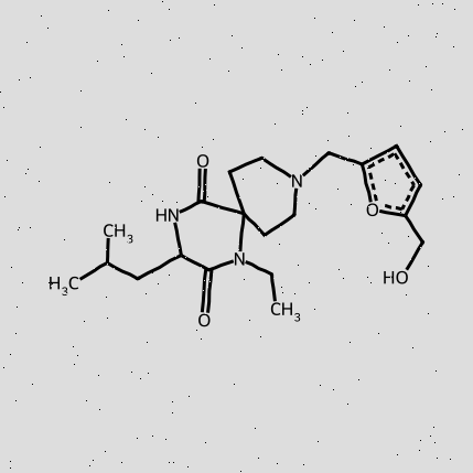 CCN1C(=O)C(CC(C)C)NC(=O)C12CCN(Cc1ccc(CO)o1)CC2